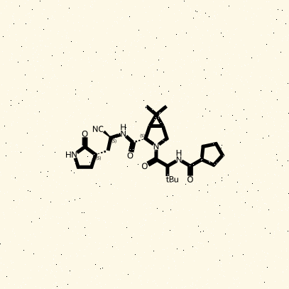 CC(C)(C)C(NC(=O)C1CCCC1)C(=O)N1CC2C([C@H]1C(=O)N[C@H](C#N)C[C@@H]1CCNC1=O)C2(C)C